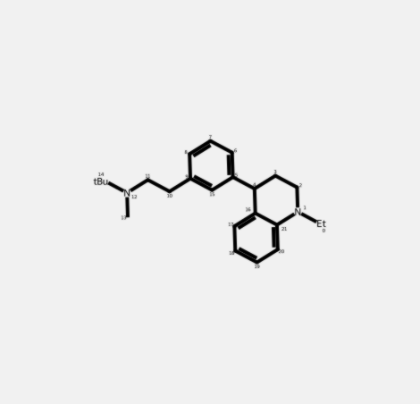 CCN1CCC(c2cccc(CCN(C)C(C)(C)C)c2)c2ccccc21